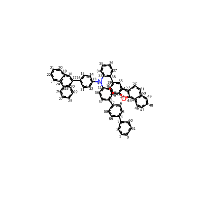 c1ccc(-c2ccc(-c3ccc(N(c4ccc(-c5cc6ccccc6c6ccccc56)cc4)c4ccccc4-c4ccc5oc6c7ccccc7ccc6c5c4)cc3)cc2)cc1